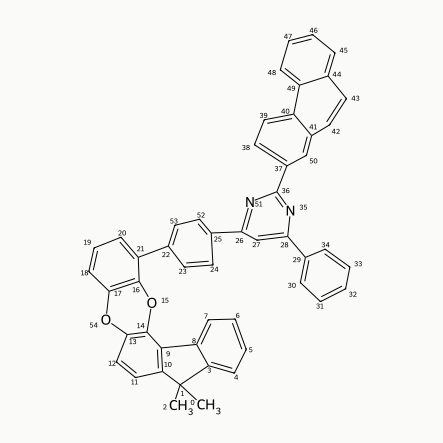 CC1(C)c2ccccc2-c2c1ccc1c2Oc2c(cccc2-c2ccc(-c3cc(-c4ccccc4)nc(-c4ccc5c(ccc6ccccc65)c4)n3)cc2)O1